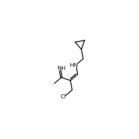 CC(=N)/C(=C\NCC1CC1)CCl